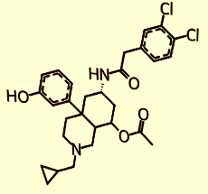 CC(=O)OC1C[C@@H](NC(=O)Cc2ccc(Cl)c(Cl)c2)CC2(c3cccc(O)c3)CCN(CC3CC3)CC12